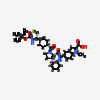 Cn1c(C(=O)O)cc2cc(NC(=O)[C@@H]3[C@H](c4ccccc4)CCN3C(=O)[C@H]3CC[C@H]([C@@H](CF)NC(=O)OC(C)(C)C)CC3)ccc21